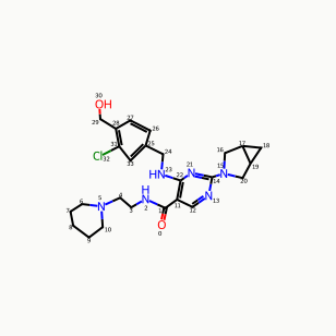 O=C(NCCN1CCCCC1)c1cnc(N2CC3CC3C2)nc1NCc1ccc(CO)c(Cl)c1